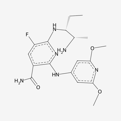 CC[C@@H](Nc1nc(Nc2cc(OC)nc(OC)c2)c(C(N)=O)cc1F)[C@H](C)N